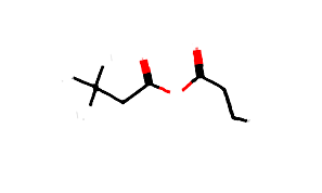 [CH2]CCC(=O)OC(=O)CC(C)(C)C